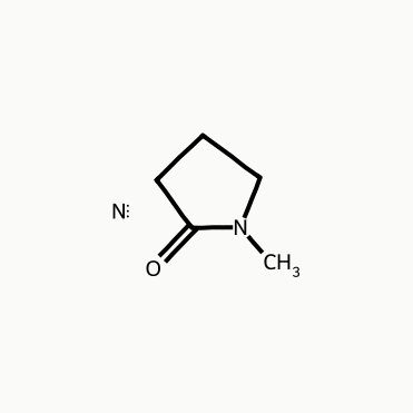 CN1CCCC1=O.[N]